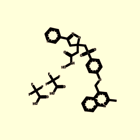 Cc1cc(COc2ccc(S(=O)(=O)CC3(CC(=O)NO)CC(c4cccnc4)=NO3)cc2)c2ccccc2n1.O=C(O)C(F)(F)F.O=C(O)C(F)(F)F